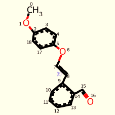 COc1ccc(O/C=C/c2ccccc2C=O)cc1